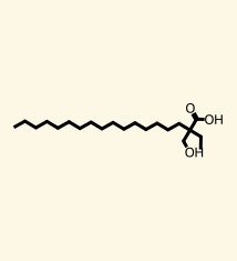 CCCCCCCCCCCCCCCCC(CC)(CO)C(=O)O